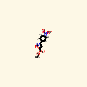 CCOC(=O)c1cc(-c2ccc([N+](=O)[O-])cc2)no1